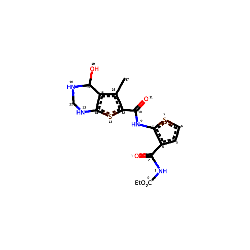 CCOC(=O)NC(=O)c1ccsc1NC(=O)c1sc2c(c1C)C(O)NCN2